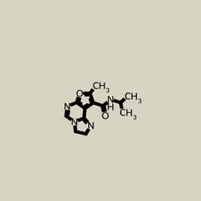 Cc1oc2c(c1C(=O)NC(C)C)C1=NCCN1C=N2